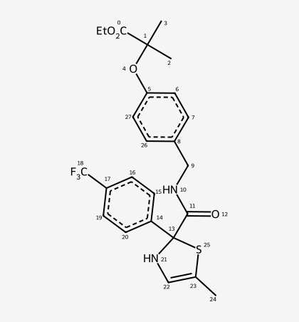 CCOC(=O)C(C)(C)Oc1ccc(CNC(=O)C2(c3ccc(C(F)(F)F)cc3)NC=C(C)S2)cc1